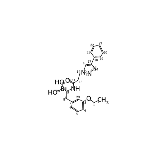 CCOc1cccc(C[C@H](NC(=O)CCn2cc(-c3ccccc3)nn2)B(O)O)c1